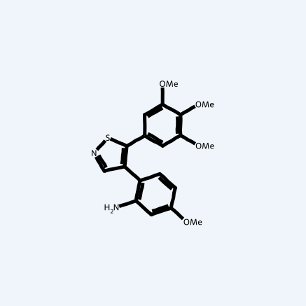 COc1ccc(-c2cnsc2-c2cc(OC)c(OC)c(OC)c2)c(N)c1